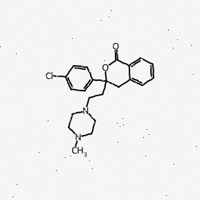 CN1CCN(CCC2(c3ccc(Cl)cc3)Cc3ccccc3C(=O)O2)CC1